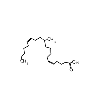 CCCCC/C=C\CCC(C)C/C=C\C/C=C\CCCC(=O)O